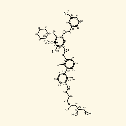 Cc1c(COc2cc(OCc3cncc(C#N)c3)c(CN3CCCC[C@H]3C(=O)O)cc2Cl)cccc1-c1cccc(OCCCN(C)C[C@H](O)CO)c1C